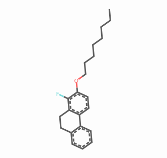 CCCCCCCCOc1ccc2c(c1F)CCc1ccccc1-2